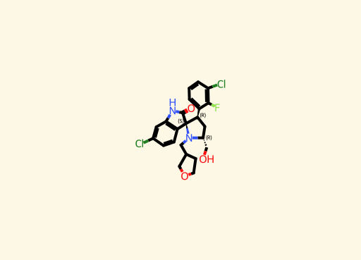 O=C1Nc2cc(Cl)ccc2[C@@]12[C@@H](c1cccc(Cl)c1F)C[C@H](CO)N2CC1CCOC1